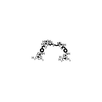 CNC(NC(=O)Cc1ccc(NC(=O)OC(C)(C)C)cc1)SC(N)CCSCCc1nnc(NC(=O)Cc2ccc(NC(=O)OC(C)(C)C)cc2)s1